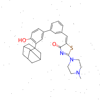 CN1CCN(C2=NC(=O)C(=Cc3cccc(-c4ccc(O)c(C56CC7CC(CC(C7)C5)C6)c4)c3)S2)CC1